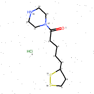 Cl.O=C(CCCCC1CCSS1)N1CCNCC1